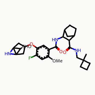 COc1cc(F)c(OC2CC34NC3(C2)C4C=O)cc1C(=O)NC1C2CCC(C2)C1C(=O)NCC1(C)CCC1